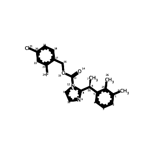 Cc1cccc([C@H](C)c2nccn2C(=O)OCc2ccc(Cl)cc2F)c1C